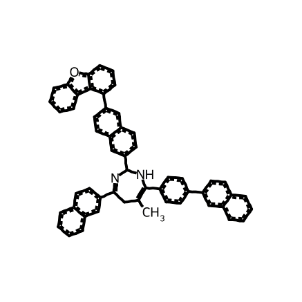 CC1=C(c2ccc(-c3ccc4ccccc4c3)cc2)NC(c2ccc3cc(-c4cccc5oc6ccccc6c45)ccc3c2)N=C(c2ccc3ccccc3c2)C1